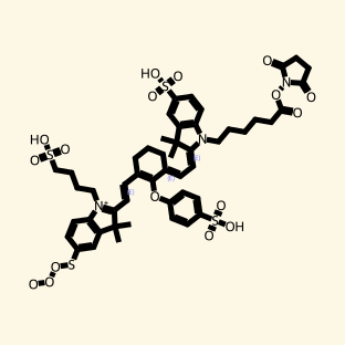 CC1(C)C(/C=C/C2=C(Oc3ccc(S(=O)(=O)O)cc3)C(=C/C=C3/N(CCCCCC(=O)ON4C(=O)CCC4=O)c4ccc(S(=O)(=O)O)cc4C3(C)C)/CCC2)=[N+](CCCCS(=O)(=O)O)c2ccc(SOO[O-])cc21